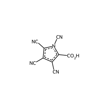 N#Cc1c(C#N)c(C(=O)O)n(C#N)c1C#N